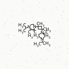 CC(C)N1CCN(C2(C)CC(C)(N3CCN(C(C)C)[C@@H](C)[C@H]3C)C2)[C@H](C)C1